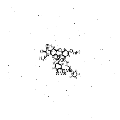 CCCOc1cc(OCCCCN2CCCC2)cc(Oc2cc3c(cc2NS(=O)(=O)c2ccc(OC)c(OC)c2)n(C)c(=O)n3C)c1